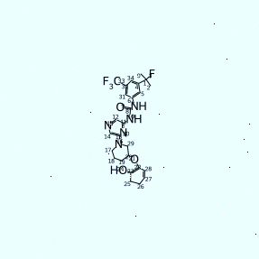 CC(C)(F)c1cc(NC(=O)Nc2cncc(N3CCCC(OC4=C(O)CCC=C4)C3)n2)cc(C(F)(F)F)c1